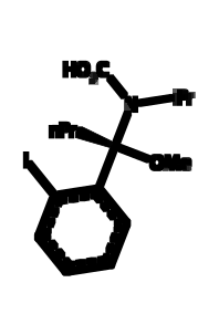 CCC[C@@](OC)(c1ccccc1I)N(C(=O)O)C(C)C